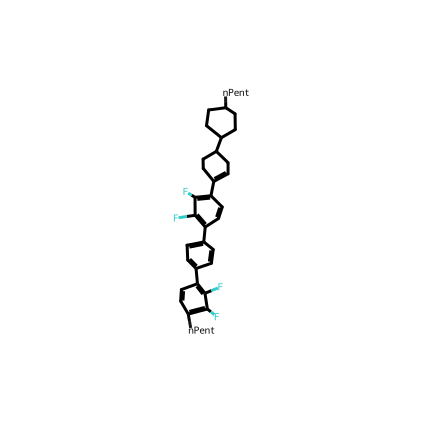 CCCCCc1ccc(-c2ccc(-c3ccc(C4=CCC(C5CCC(CCCCC)CC5)CC4)c(F)c3F)cc2)c(F)c1F